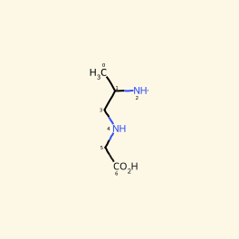 CC([NH])CNCC(=O)O